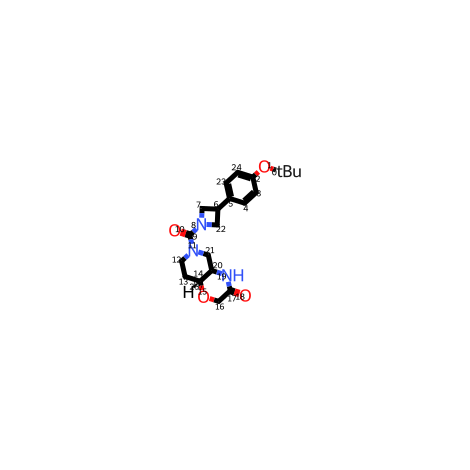 CC(C)(C)Oc1ccc(C2CN(C(=O)N3CC[C@@H]4OCC(=O)NC4C3)C2)cc1